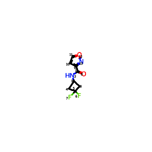 O=C(NC1CC(F)(F)C1)c1ccon1